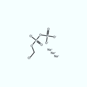 O=P([O-])([O-])OP(=O)([O-])OCCl.[Na+].[Na+].[Na+]